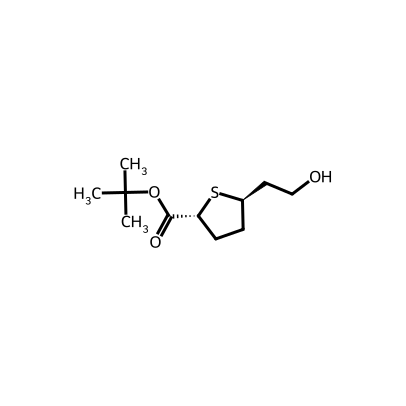 CC(C)(C)OC(=O)[C@H]1CC[C@H](CCO)S1